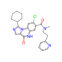 CN(CCc1ccccn1)C(=O)c1cc2[nH]c(=O)c3cnc(C4CCCCC4)n3c2cc1Cl